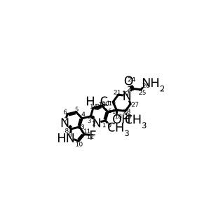 Cc1nc(-c2ccnc3[nH]cc(F)c23)ccc1C1(O)[C@H](C)CN(C(=O)CN)C[C@@H]1C